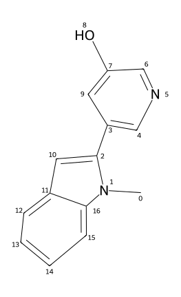 Cn1c(-c2cncc(O)c2)cc2ccccc21